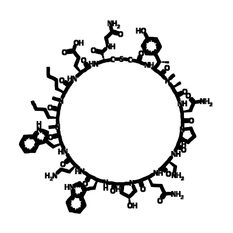 CCCC[C@H]1C(=O)N(C)[C@@H](CCCC)C(=O)N[C@@H](CCC(=O)O)C(=O)N[C@H](C(=O)NCC(N)=O)CSCC(=O)N[C@@H]([C@@H](C)c2ccc(O)cc2)C(=O)N(C)[C@@H](C)C(=O)N[C@@H](CC(N)=O)C(=O)N2CCC[C@H]2C(=O)N[C@@H](CN)C(=O)N[C@@H](CCC(N)=O)C(=O)N2C[C@H](O)C[C@H]2C(=O)N[C@@H](Cc2c[nH]c3ccccc23)C(=O)N[C@@H](CCN)C(=O)N[C@@H](Cc2c[nH]c3ccccc23)C(=O)N1C